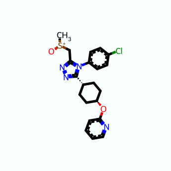 C[S+]([O-])Cc1nnc([C@H]2CC[C@H](Oc3ccccn3)CC2)n1-c1ccc(Cl)cc1